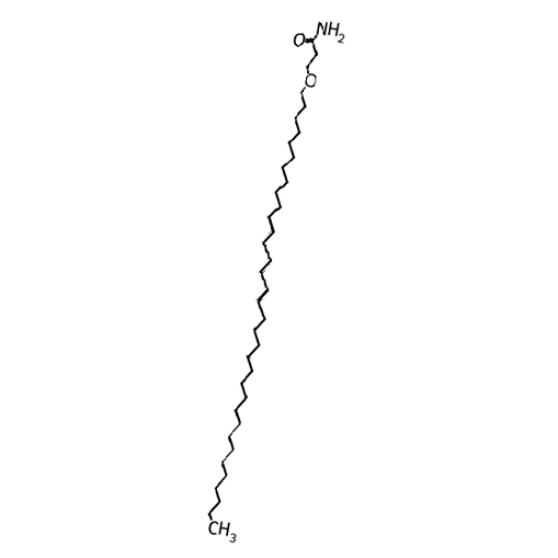 CCCCCCCCCCCCCCCCCCCCCCCCCCCCCCCCCCOCCC(N)=O